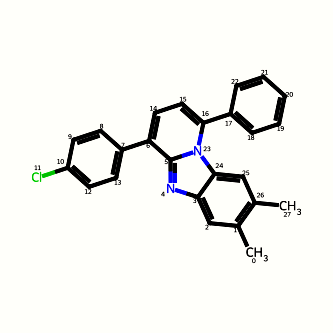 Cc1cc2nc3c(-c4ccc(Cl)cc4)ccc(-c4ccccc4)n3c2cc1C